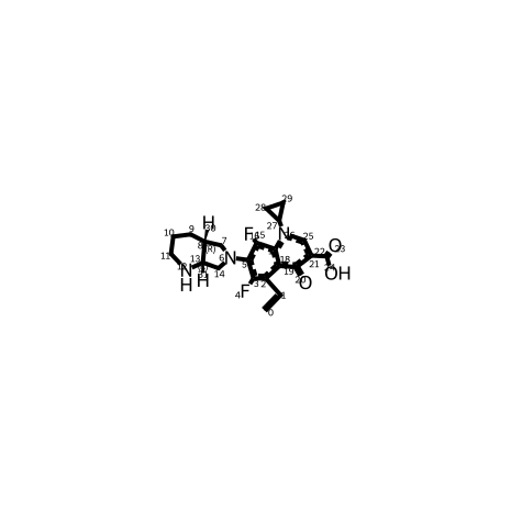 C=Cc1c(F)c(N2C[C@H]3CCCN[C@H]3C2)c(F)c2c1c(=O)c(C(=O)O)cn2C1CC1